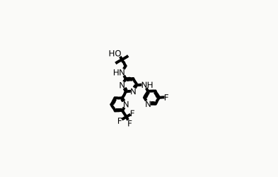 CC(C)(O)CNc1cc(Nc2cncc(F)c2)nc(-c2cccc(C(F)(F)F)n2)n1